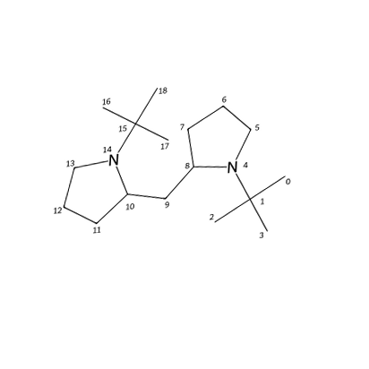 CC(C)(C)N1CCCC1CC1CCCN1C(C)(C)C